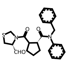 O=C[C@@H]1CSCN1C(=O)C1CCC[C@H]1C(=O)N(Cc1ccccc1)c1ccccc1